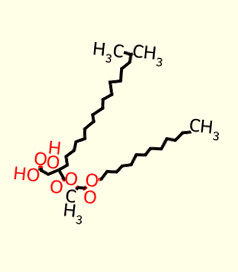 CCCCCCCCCCCCCCOC(=O)C(C)OC(=O)C(O)(CCCCCCCCCCCCCCCC(C)C)CC(=O)O